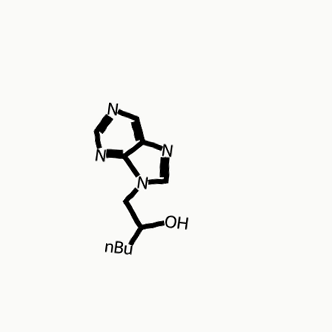 CCCCC(O)Cn1cnc2cncnc21